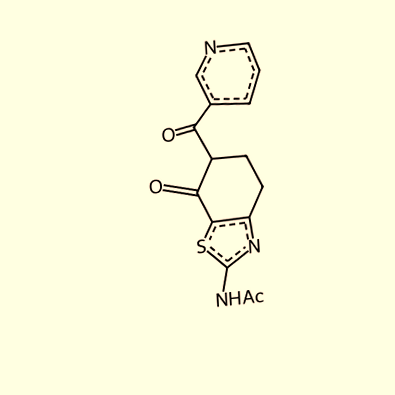 CC(=O)Nc1nc2c(s1)C(=O)C(C(=O)c1cccnc1)CC2